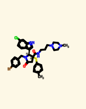 Cc1ccc(S[C@@]2(C(=O)NCCCN3CCN(C)CC3)CC(=O)N(Cc3ccc(Br)cc3)[C@H]2c2c[nH]c3cc(Cl)ccc23)cc1